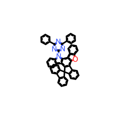 c1ccc(-c2nc(-c3ccccc3)nc(-n3c4ccccc4c4c5c(c6oc7ccccc7c6c43)-c3ccccc3C53c4ccccc4-c4ccccc43)n2)cc1